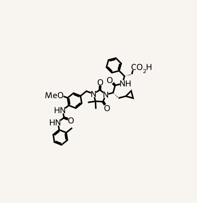 COc1cc(CN2C(=O)N([C@@H](CC3CC3)C(=O)N[C@@H](CC(=O)O)c3ccccc3)C(=O)C2(C)C)ccc1NC(=O)Nc1ccccc1C